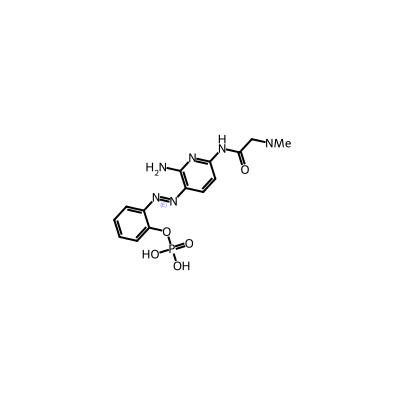 CNCC(=O)Nc1ccc(/N=N/c2ccccc2OP(=O)(O)O)c(N)n1